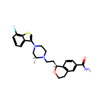 C[C@@H]1CN(c2csc3c(F)cccc23)CCN1CC[C@@H]1OCCc2cc(C(N)=O)ccc21